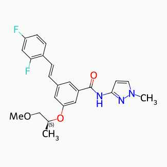 COC[C@H](C)Oc1cc(C=Cc2ccc(F)cc2F)cc(C(=O)Nc2ccn(C)n2)c1